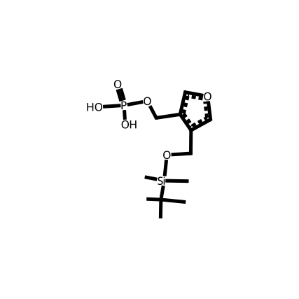 CC(C)(C)[Si](C)(C)OCc1cocc1COP(=O)(O)O